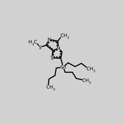 CCC[CH2][Sn]([CH2]CCC)([CH2]CCC)[c]1cn2c(C)nc(SC)c2s1